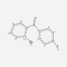 C=C(c1ccc(F)cc1)c1ccccc1Br